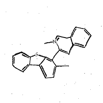 Cc1ccc2c(sc3ccccc32)c1-c1cc2ccccc2c[n+]1C